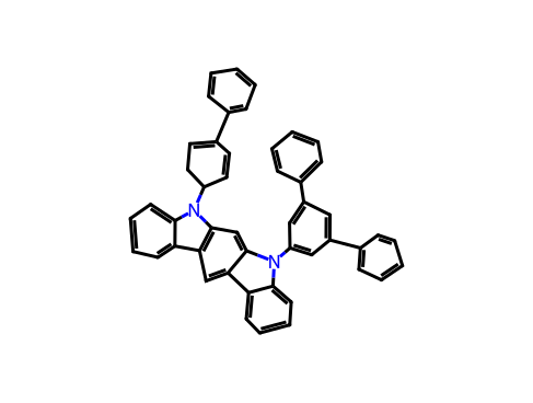 C1=CC(n2c3ccccc3c3cc4c5ccccc5n(-c5cc(-c6ccccc6)cc(-c6ccccc6)c5)c4cc32)CC=C1c1ccccc1